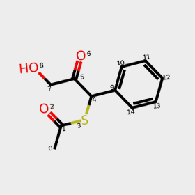 CC(=O)SC(C(=O)CO)c1ccccc1